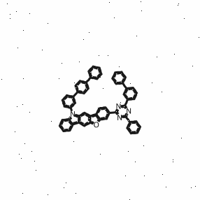 c1ccc(-c2ccc(-c3cccc(-n4c5ccccc5c5cc6oc7cc(-c8nc(-c9ccccc9)nc(-c9cccc(-c%10ccccc%10)c9)n8)ccc7c6cc54)c3)cc2)cc1